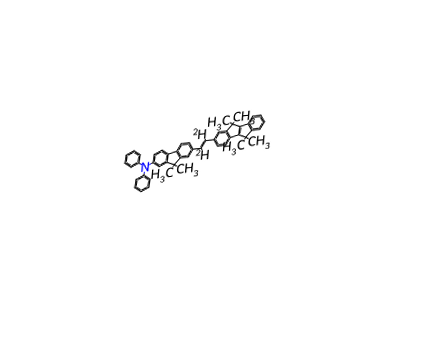 [2H]/C(=C(/[2H])c1ccc2c(c1)C(C)(C)c1cc(N(c3ccccc3)c3ccccc3)ccc1-2)c1ccc2c(c1)C(C)(C)C1=C2C(C)(C)c2ccccc21